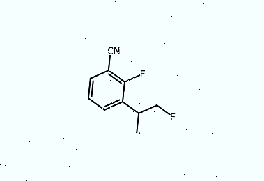 [CH2]C(CF)c1cccc(C#N)c1F